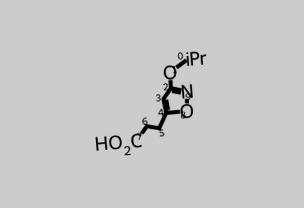 CC(C)Oc1cc(CCC(=O)O)on1